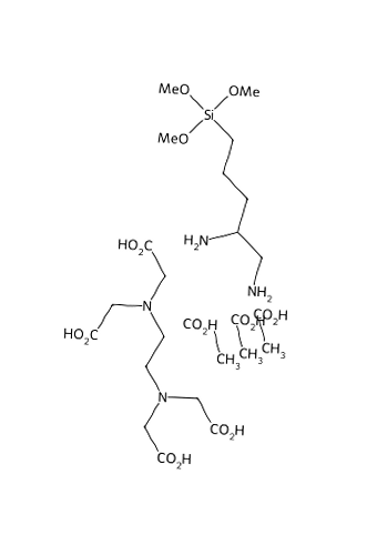 CC(=O)O.CC(=O)O.CC(=O)O.CO[Si](CCCC(N)CN)(OC)OC.O=C(O)CN(CCN(CC(=O)O)CC(=O)O)CC(=O)O